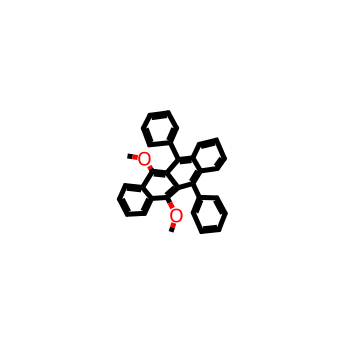 COc1c2ccccc2c(OC)c2c(-c3ccccc3)c3ccccc3c(-c3ccccc3)c12